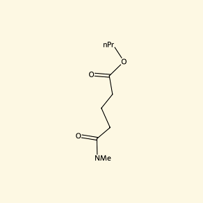 CCCOC(=O)CCCC(=O)NC